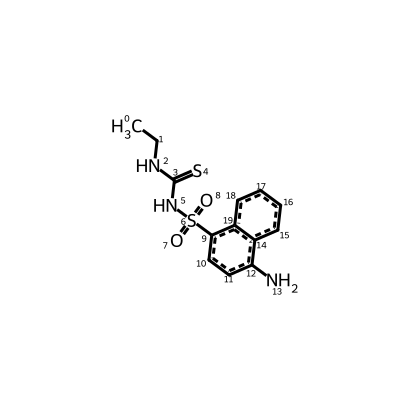 CCNC(=S)NS(=O)(=O)c1ccc(N)c2ccccc12